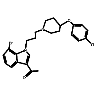 CC(=O)c1cn(CCCN2CCC(Oc3ccc(Cl)cc3)CC2)c2c(Br)cccc12